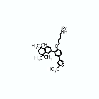 CC(C)NCCCCOc1ccc(-c2csc(C(=O)O)c2)cc1-c1ccc2c(c1)C(C)(C)CCC2(C)C